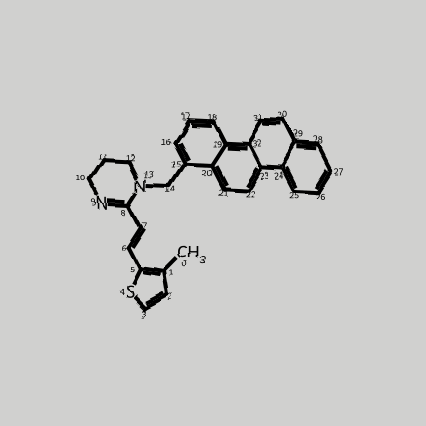 Cc1ccsc1C=CC1=NCCCN1Cc1cccc2c1ccc1c3ccccc3ccc21